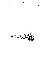 CC(=C1C(=O)OC(C)(C)OC1=O)[C@H]1CC[C@H](NC(=O)O)CC1